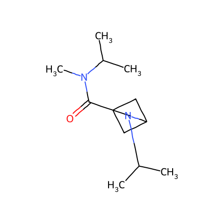 CC(C)N(C)C(=O)C12CC(C1)N(C(C)C)C2